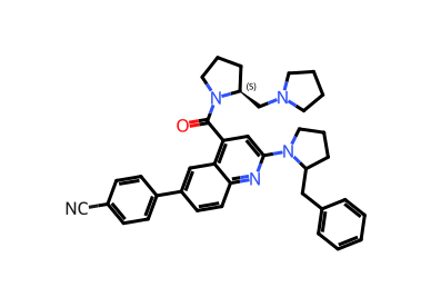 N#Cc1ccc(-c2ccc3nc(N4CCCC4Cc4ccccc4)cc(C(=O)N4CCC[C@H]4CN4CCCC4)c3c2)cc1